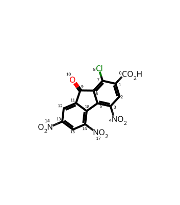 O=C(O)c1cc([N+](=O)[O-])c2c(c1Cl)C(=O)c1cc([N+](=O)[O-])cc([N+](=O)[O-])c1-2